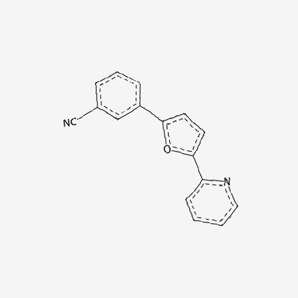 N#Cc1cccc(-c2ccc(-c3ccccn3)o2)c1